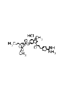 CCCCCN(CC(=O)OCC)C(=O)Oc1ccc2c(c1)c(C(=O)CCc1ccc(C(=N)N)cc1)cn2C.Cl